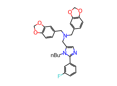 CCCCn1c(CN(Cc2ccc3c(c2)OCO3)Cc2ccc3c(c2)OCO3)cnc1-c1cccc(F)c1